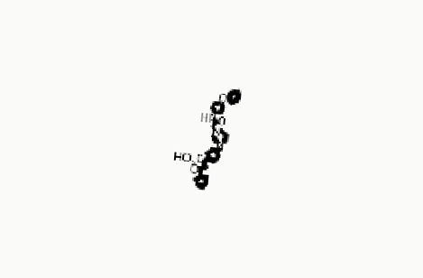 O=C(CN1CCCN(Cc2ccc(C(CC(=O)c3ccccc3)C(=O)O)cc2)CC1)Nc1ccc(Oc2ccccc2)cc1